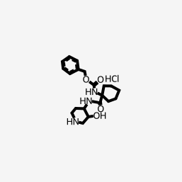 Cl.O=C(NC1(C(=O)NC2CCNCC2O)CCCCC1)OCc1ccccc1